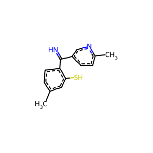 Cc1ccc(C(=N)c2ccc(C)nc2)c(S)c1